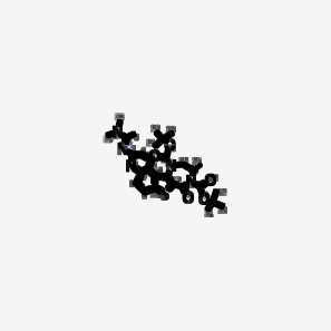 C/C(=N\c1ccc2c(ccc3sc4c(c32)N(C(=O)OC(C)(C)C)C[C@@H](C)N(C(=O)OC(C)(C)C)C4=O)n1)N(C)C